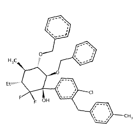 CC[C@@H]1[C@@H](C)[C@H](OCc2ccccc2)[C@@H](OCc2ccccc2)[C@](O)(c2ccc(Cl)c(Cc3ccc(C)cc3)c2)C1(F)F